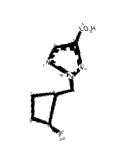 O=C(O)c1cnn(CC2CCC2F)n1